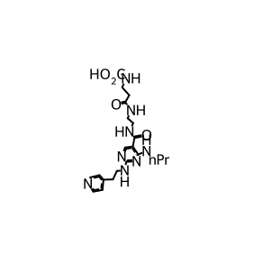 CCCNc1nc(NCCc2ccncc2)ncc1C(=O)NCCNC(=O)CCNC(=O)O